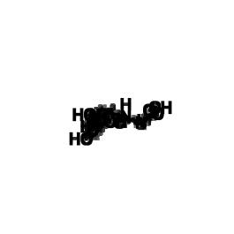 C[C@H](CCC(=O)NCCC[N+](C)(C)CCCS(=O)(=O)O)[C@H]1CC[C@H]2[C@@H]3[C@H](O)C[C@@H]4C[C@H](O)CC[C@]4(C)[C@@]3(C)C[C@H](O)[C@]12C